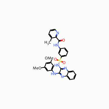 COc1cc(Nc2nc3ccccc3nc2NS(=O)(=O)c2cccc(NC(=O)c3ncccc3C)c2)cc(OC)c1